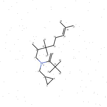 C=C(N(CC1CC1)CC(C)C(C)(C)CCC=C(C)C)C(C)(C)C